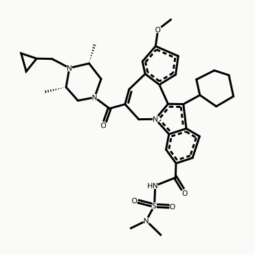 COc1ccc2c(c1)C=C(C(=O)N1C[C@@H](C)N(CC3CC3)[C@@H](C)C1)Cn1c-2c(C2CCCCC2)c2ccc(C(=O)NS(=O)(=O)N(C)C)cc21